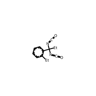 CCc1ccccc1C(CC)(N=C=O)N=C=O